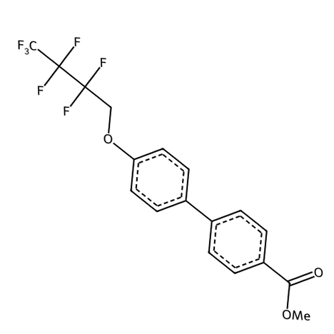 COC(=O)c1ccc(-c2ccc(OCC(F)(F)C(F)(F)C(F)(F)F)cc2)cc1